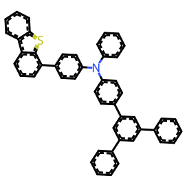 c1ccc(-c2cc(-c3ccccc3)cc(-c3ccc(N(c4ccccc4)c4ccc(-c5cccc6c5sc5ccccc56)cc4)cc3)c2)cc1